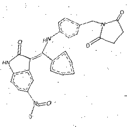 O=C1Nc2ccc([N+](=O)[O-])cc2/C1=C(/Nc1ccc(CN2C(=O)CCC2=O)cc1)c1ccccc1